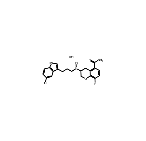 CCN(CCCc1c[nH]c2ccc(Cl)cc12)C1COc2c(F)ccc(C(N)=O)c2C1.Cl